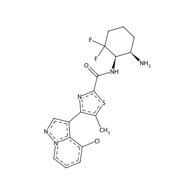 Cc1sc(C(=O)N[C@@H]2[C@H](N)CCCC2(F)F)nc1-c1cnn2cccc(Cl)c12